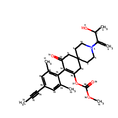 C=C(C(C)O)N1CCC2(CC1)CC(=O)C(c1c(C)cc(C#CC)cc1C)=C(OC(=O)OC)C2